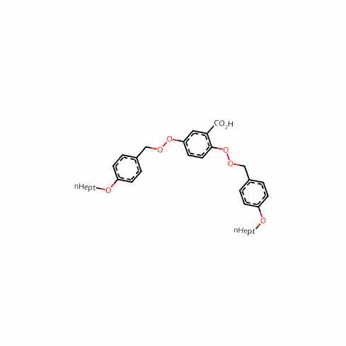 CCCCCCCOc1ccc(COOc2ccc(OOCc3ccc(OCCCCCCC)cc3)c(C(=O)O)c2)cc1